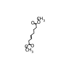 COC(=O)CC=CCCCC(=O)OC